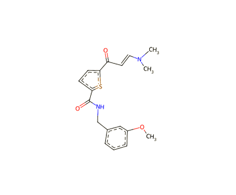 COc1cccc(CNC(=O)c2ccc(C(=O)C=CN(C)C)s2)c1